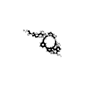 C=CC(=O)N1CC2(CC[C@H]([C@H](C(=O)N[C@H]3Cc4cccc(c4)-c4ccc5c(c4)c(c(-c4cccnc4[C@H](C)OC)n5CC)CC(C)(C)COC(=O)[C@@H]4CCCN(N4)C3=O)C(C)C)O2)C1